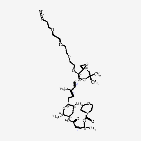 CC(/C=C/[C@H]1OC(C)(C)C[C@@]2(CO2)[C@@H]1OCCOCCOCCOCCN=[N+]=[N-])=C\C[C@@H]1O[C@H](C)[C@H](NC(=O)/C=C\[C@H](C)OC(=O)N2CCOCC2)C[C@@H]1C